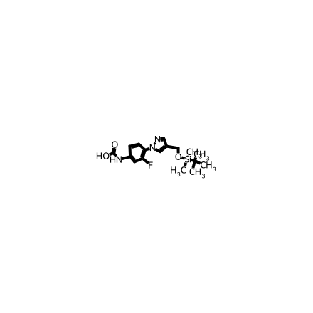 CC(C)(C)[Si](C)(C)OCc1cnn(-c2ccc(NC(=O)O)cc2F)c1